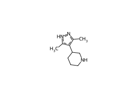 Cc1n[nH]c(C)c1C1CCCNC1